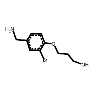 NCc1ccc(OCCCO)c(Br)c1